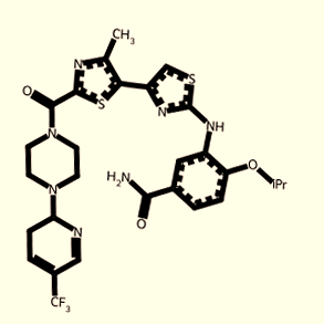 Cc1nc(C(=O)N2CCN(C3CC=C(C(F)(F)F)C=N3)CC2)sc1-c1csc(Nc2cc(C(N)=O)ccc2OC(C)C)n1